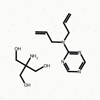 C=CCN(CC=C)c1ncncn1.NC(CO)(CO)CO